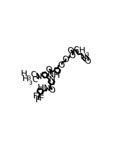 CCN(CC)c1ccc(NC(=O)c2cccc(COCCOCCOC(=O)N(C)CCN3CCOCC3)c2)c(-c2cc(C(=O)NCc3cccc(C(F)(F)F)c3)ccn2)c1